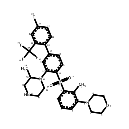 Cc1c(N2CCOCC2)cccc1S(=O)(=O)c1ccc(-c2ccc(F)cc2C(F)(F)F)cc1N1CCNCC1C